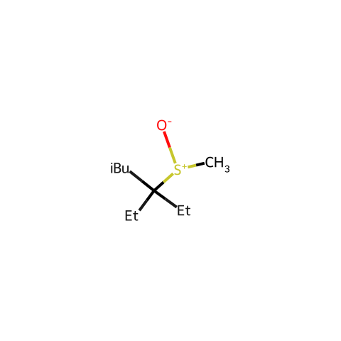 CCC(C)C(CC)(CC)[S+](C)[O-]